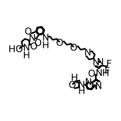 O=C(Nc1cn(C2CCN(CCCOCCCOCCCNc3cccc4c3C(=O)N(C3CCC(O)NC3=O)C4=O)CC2)nc1C(F)F)c1cnn2ccc(N3C[C@H]4C[C@@H]3CO4)nc12